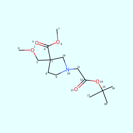 COCC1(C(=O)OC)CCN(CC(=O)OC(C)(C)C)C1